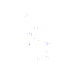 Cc1cnc2nc1Nc1ccc(NC(=O)Cc3ccncc3)c(c1)CCc1cccc(c1)N2